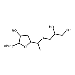 CCCCCC1OC(C(C)OCC(O)CO)CC1O